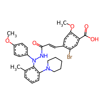 COc1ccc(N(NC(=O)/C=C/c2cc(OC)c(C(=O)O)cc2Br)c2c(C)cccc2N2CCCCC2)cc1